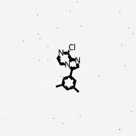 Cc1cc(C)cc(-c2cnc3c(Cl)nccn23)c1